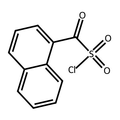 O=C(c1cccc2ccccc12)S(=O)(=O)Cl